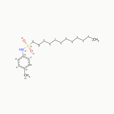 CCCCCCCCCCCCS(=O)(=O)Nc1ccc(C)cc1